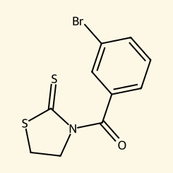 O=C(c1cccc(Br)c1)N1CCSC1=S